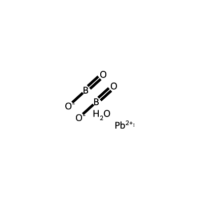 O.O=B[O-].O=B[O-].[Pb+2]